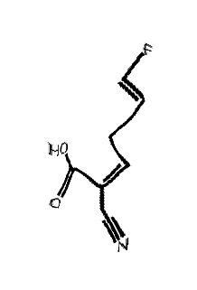 N#CC(=CCC=CF)C(=O)O